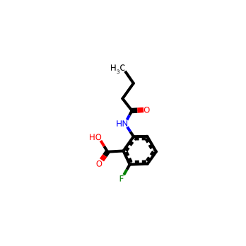 CCCC(=O)Nc1cccc(F)c1C(=O)O